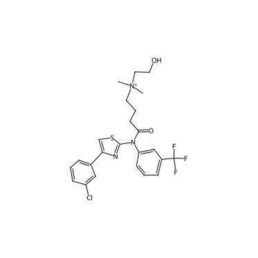 C[N+](C)(CCO)CCCC(=O)N(c1cccc(C(F)(F)F)c1)c1nc(-c2cccc(Cl)c2)cs1